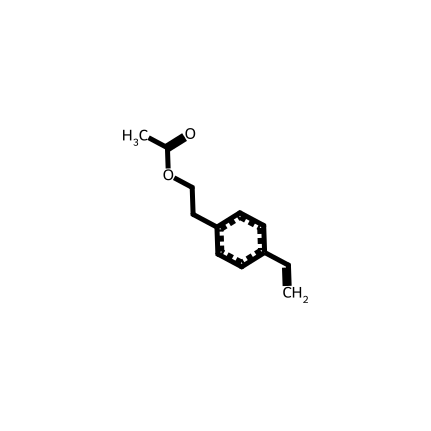 C=Cc1ccc(CCOC(C)=O)cc1